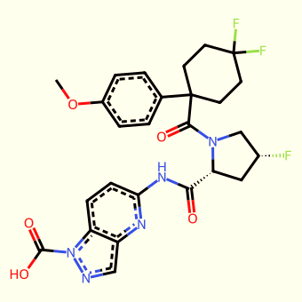 COc1ccc(C2(C(=O)N3C[C@H](F)C[C@@H]3C(=O)Nc3ccc4c(cnn4C(=O)O)n3)CCC(F)(F)CC2)cc1